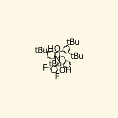 CC(C)(C)c1cc(C(C)(C)C)cc(C(O)(c2cc(C(C)(C)C)cc(C(C)(C)C)c2)C(Cc2ccccc2)N=Cc2cc(F)cc(F)c2O)c1